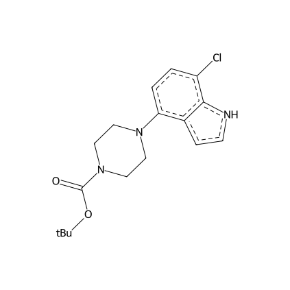 CC(C)(C)OC(=O)N1CCN(c2ccc(Cl)c3[nH]ccc23)CC1